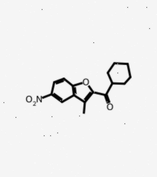 Cc1c(C(=O)C2CCCCC2)oc2ccc([N+](=O)[O-])cc12